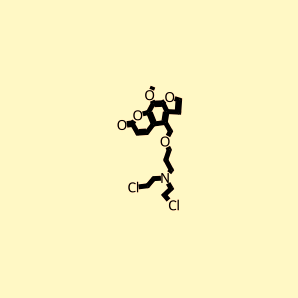 COc1c2occc2c(COCCCN(CCCl)CCCl)c2ccc(=O)oc12